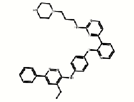 CCc1cc(-c2ccccc2)nnc1Nc1ccc(Oc2ncccc2-c2ccnc(NCCCN3CCNCC3)n2)cc1